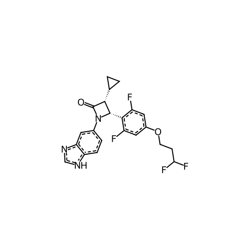 O=C1[C@H](C2CC2)[C@H](c2c(F)cc(OCCC(F)F)cc2F)N1c1ccc2[nH]cnc2c1